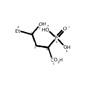 CCC(O)CC(C(=O)O)P(=O)(O)O